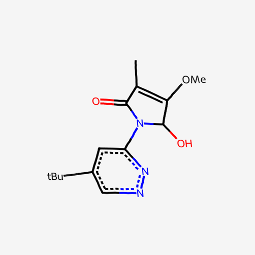 COC1=C(C)C(=O)N(c2cc(C(C)(C)C)cnn2)C1O